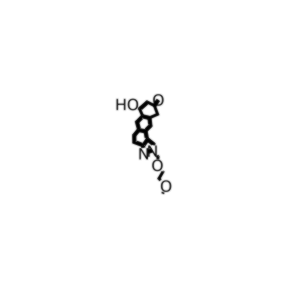 COCCOCn1cc2c(ccc3cc4c(cc32)CC(=O)C=C4O)n1